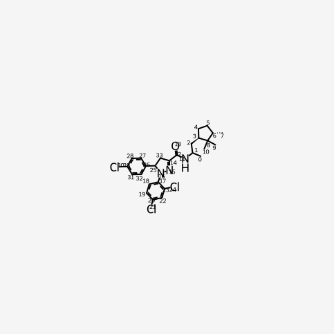 CC(C[C@H]1CC[C@H](C)C1(C)C)NC(=O)C1=NN(c2ccc(Cl)cc2Cl)C(c2ccc(Cl)cc2)C1